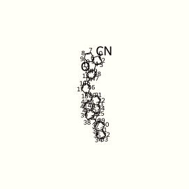 N#Cc1ccc2c3c1C=CCC3Oc1cc(-c3cccc(-c4ccc5ccc6c(-c7ccc8ccccc8c7)ccc7ccc4c5c76)c3)ccc1-2